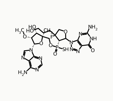 CO[C@H]1[C@@H](n2cnc3c(N)ncnc32)O[C@](C)(COP(=O)(S)[C@H]2C(n3nnc4c(=O)[nH]c(N)nc43)OC[C@@]2(F)CCCO)[C@H]1O